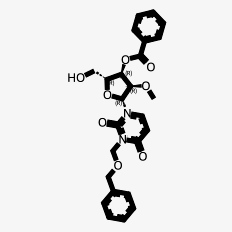 CO[C@@H]1[C@H](OC(=O)c2ccccc2)[C@@H](CO)O[C@H]1n1ccc(=O)n(COCc2ccccc2)c1=O